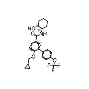 O=C(N[C@@H]1CCCC[C@H]1O)c1cnc(OCC2CC2)c(-c2ccc(OC(F)(F)F)cc2)n1